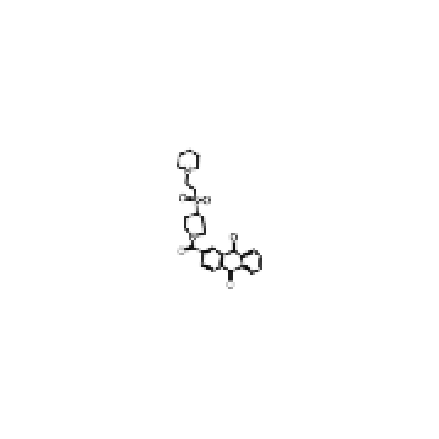 O=C1c2ccccc2C(=O)c2cc(C(=O)N3CCC(S(=O)(=O)CCN4CCCCC4)CC3)ccc21